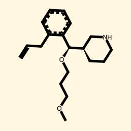 C=CCc1ccccc1[C@H](OCCCOC)[C@@H]1CCCNC1